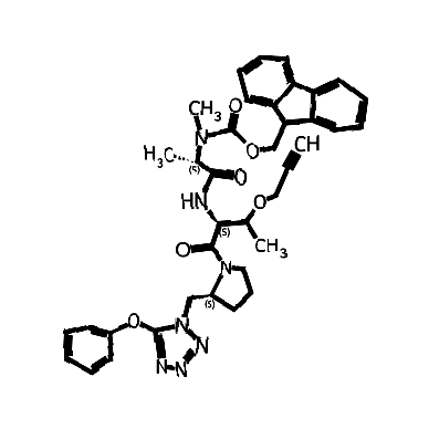 C#CCOC(C)[C@H](NC(=O)[C@H](C)N(C)C(=O)OCC1c2ccccc2-c2ccccc21)C(=O)N1CCC[C@H]1Cn1nnnc1Oc1ccccc1